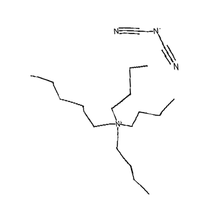 CCCCC[N+](CCCC)(CCCC)CCCC.N#C[N-]C#N